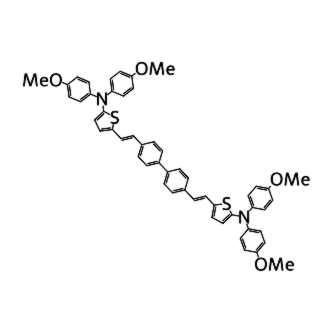 COc1ccc(N(c2ccc(OC)cc2)c2ccc(/C=C/c3ccc(-c4ccc(/C=C/c5ccc(N(c6ccc(OC)cc6)c6ccc(OC)cc6)s5)cc4)cc3)s2)cc1